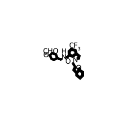 O=COC1CCC(CNC(=O)c2cc(C(F)(F)F)cc3ccn(Cc4cc5ccccc5o4)c23)CC1